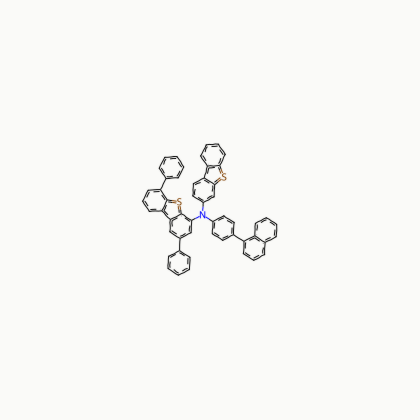 c1ccc(-c2cc(N(c3ccc(-c4cccc5ccccc45)cc3)c3ccc4c(c3)sc3ccccc34)c3sc4c(-c5ccccc5)cccc4c3c2)cc1